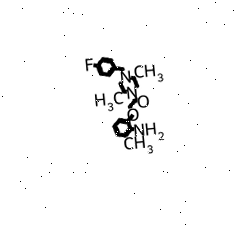 Cc1cccc(OCC(=O)N2C[C@@H](C)N(Cc3ccc(F)cc3)C[C@@H]2C)c1N